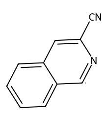 N#Cc1cc2ccccc2[c]n1